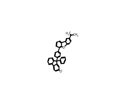 C=C(C)c1ccc2oc3c(-c4ccc(C5(c6ccccc6)c6ccccc6-c6ccc(Cl)cc65)cc4)cccc3c2c1